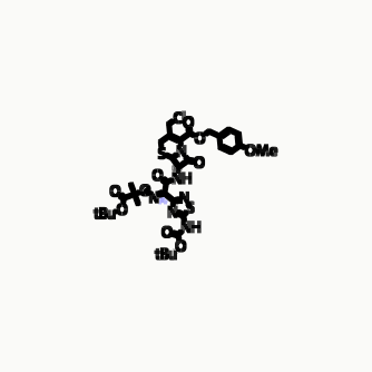 COc1ccc(COC(=O)C2=C(CCl)CSC3[C@H](NC(=O)/C(=N\OC(C)(C)C(=O)OC(C)(C)C)c4nsc(NC(=O)OC(C)(C)C)n4)C(=O)N23)cc1